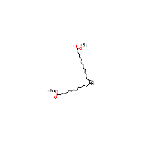 CCCCOC(=O)CCCCCCCCCCCC1=[CH][Bi]=[C]1CCCCCCCCCCCC(=O)OCCCC